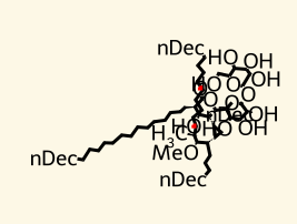 CCCCCCCCCCCCCCCCCCCCCCCC[C@@H](C(=O)OCC1OC(OC2OC(CO)C(O)C(O)C2O)C(O)C(O)C1O)[C@H](O)C(CCCCCCCCCC)[C@@H]1C[C@@H]1C(CCCCCCCCCCCCC)[C@H](OC)[C@@H](C)CCCCCCCCCCCCCCCCCCC